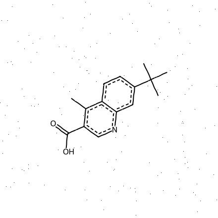 Cc1c(C(=O)O)cnc2cc(C(C)(C)C)ccc12